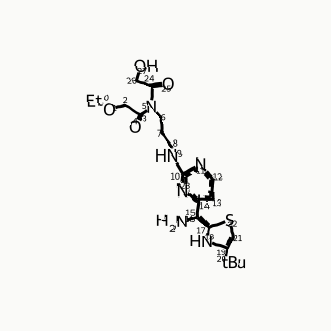 CCOCC(=O)N(CCCNc1nccc(/C(N)=C2/NC(C(C)(C)C)=CS2)n1)C(=O)CO